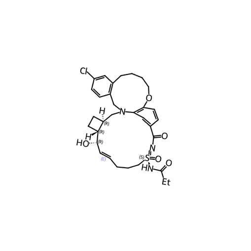 CCC(=O)N[S@]1(=O)=NC(=O)c2ccc3c(c2)N(Cc2ccc(Cl)cc2CCCCO3)C[C@@H]2CC[C@H]2[C@@H](O)/C=C/CCC1